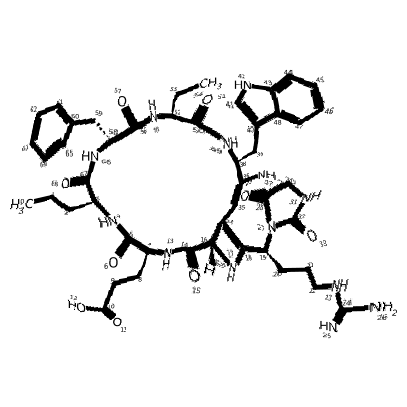 CCC[C@@H]1NC(=O)[C@H](CCC(=O)O)NC(=O)[C@H]2NC([C@H](CCCNC(=N)N)N3C(=O)CNC3=O)=C2/C=C(/N)[C@H](Cc2c[nH]c3ccccc23)NC(=O)[C@H](CC)NC(=O)[C@@H](Cc2ccccc2)NC1=O